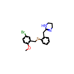 COc1ccc(Br)cc1CSc1ccccc1CC1=NCCCN1